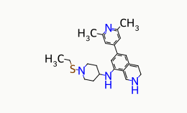 CCSN1CCC(Nc2cc(-c3cc(C)nc(C)c3)cc3c2=CNCC=3)CC1